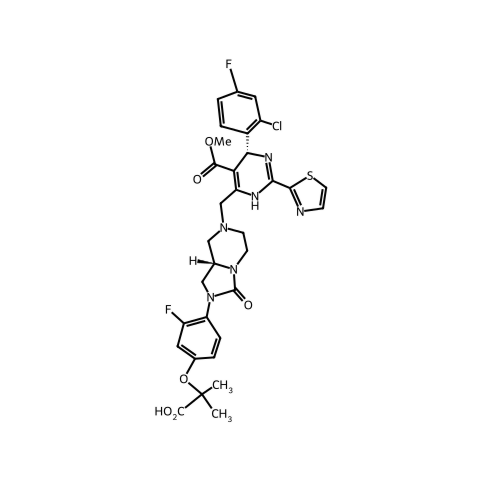 COC(=O)C1=C(CN2CCN3C(=O)N(c4ccc(OC(C)(C)C(=O)O)cc4F)C[C@@H]3C2)NC(c2nccs2)=N[C@H]1c1ccc(F)cc1Cl